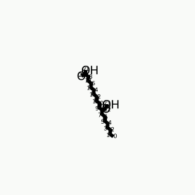 CCCCCC=CCC(C=CC=CCCCCCCC(=O)O)OO